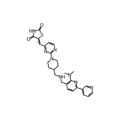 CN(C)c1nc(-c2cccnc2)ccc1CNCC1CCN(c2nccc(/C=C3\SC(=O)NC3=O)n2)CC1